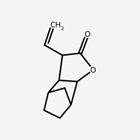 C=CC1C(=O)OC2C3CCC(C3)C12